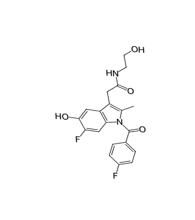 Cc1c(CC(=O)NCCO)c2cc(O)c(F)cc2n1C(=O)c1ccc(F)cc1